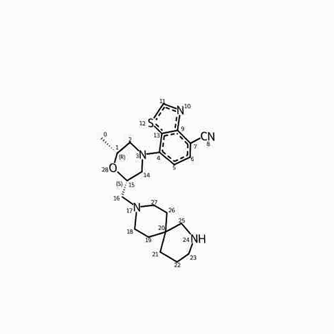 C[C@@H]1CN(c2ccc(C#N)c3ncsc23)C[C@H](CN2CCC3(CCCNC3)CC2)O1